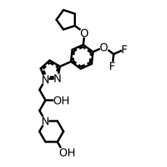 OC1CCN(CC(O)Cn2ccc(-c3ccc(OC(F)F)c(OC4CCCC4)c3)n2)CC1